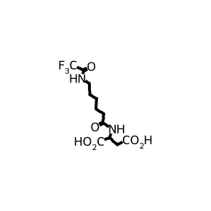 O=C(O)CC(NC(=O)CCCCCNC(=O)C(F)(F)F)C(=O)O